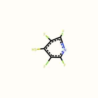 Fc1nc(F)c(F)c(S)c1F